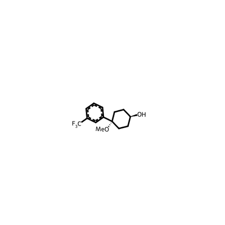 CO[C@]1(c2cccc(C(F)(F)F)c2)CC[C@@H](O)CC1